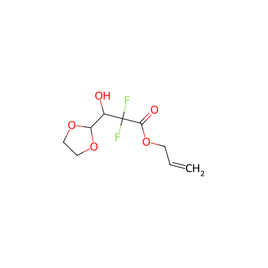 C=CCOC(=O)C(F)(F)C(O)C1OCCO1